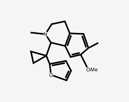 COc1cc2c(cc1C)CCN(C)C2C1(c2ccco2)CC1